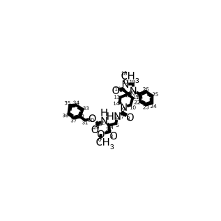 COC(=O)C(CNC(=O)N1CCC2(CC1)C(=O)N(C)CN2c1ccccc1)NC(=O)OCc1ccccc1